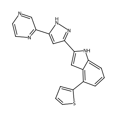 c1csc(-c2cccc3[nH]c(-c4cc(-c5cnccn5)[nH]n4)cc23)c1